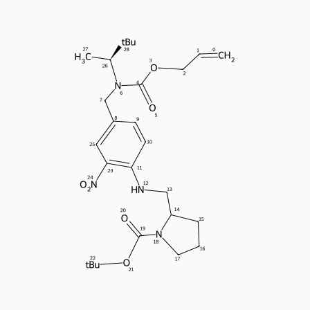 C=CCOC(=O)N(Cc1ccc(NCC2CCCN2C(=O)OC(C)(C)C)c([N+](=O)[O-])c1)[C@@H](C)C(C)(C)C